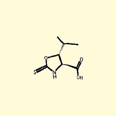 CC(C)[C@H]1OC(=S)N[C@@H]1C(=O)O